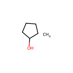 C.OC1CCCC1